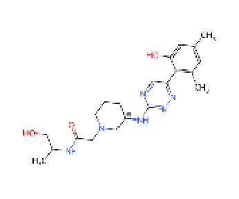 Cc1cc(C)c(-c2cnc(N[C@@H]3CCCN(CC(=O)NC(C)CO)C3)nn2)c(O)c1